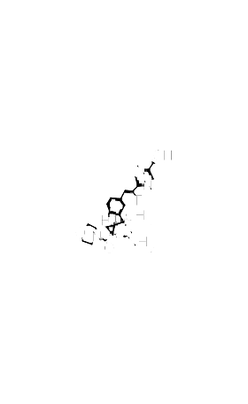 C#Cc1cnc(C(F)=Cc2ccc(F)c([C@@]3(C)N=C(N)S[C@@]4(C(=O)N5CCOCC5)C[C@H]43)c2)cn1